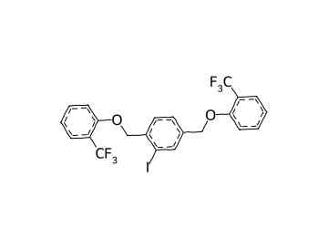 FC(F)(F)c1ccccc1OCc1ccc(COc2ccccc2C(F)(F)F)c(I)c1